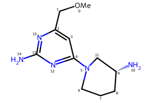 COCc1cc(N2CCC[C@@H](N)C2)nc(N)n1